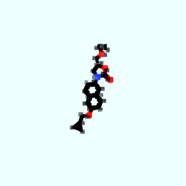 COC[C@H]1CN(c2ccc3cc(OCC4CC4)ccc3c2)C(=O)O1